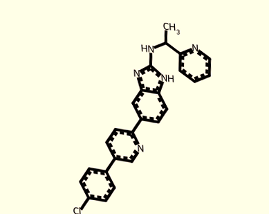 CC(Nc1nc2cc(-c3ccc(-c4ccc(Cl)cc4)cn3)ccc2[nH]1)c1ccccn1